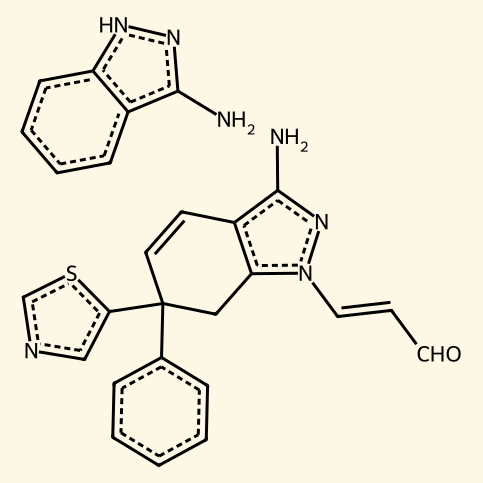 Nc1n[nH]c2ccccc12.Nc1nn(C=CC=O)c2c1C=CC(c1ccccc1)(c1cncs1)C2